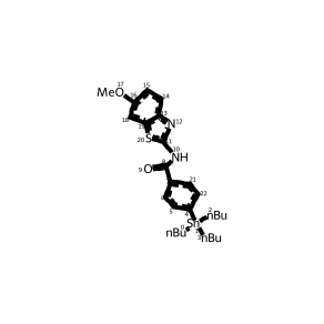 CCC[CH2][Sn]([CH2]CCC)([CH2]CCC)[c]1ccc(C(=O)Nc2nc3ccc(OC)cc3s2)cc1